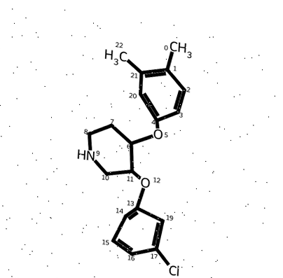 Cc1ccc(OC2CCNCC2Oc2cccc(Cl)c2)cc1C